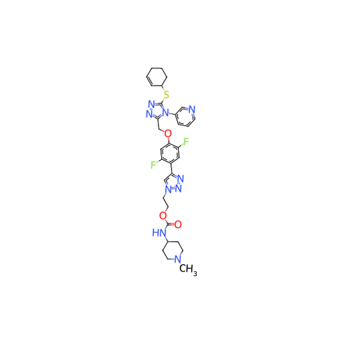 CN1CCC(NC(=O)OCCn2cc(-c3cc(F)c(OCc4nnc(SC5C=CCCC5)n4-c4cccnc4)cc3F)nn2)CC1